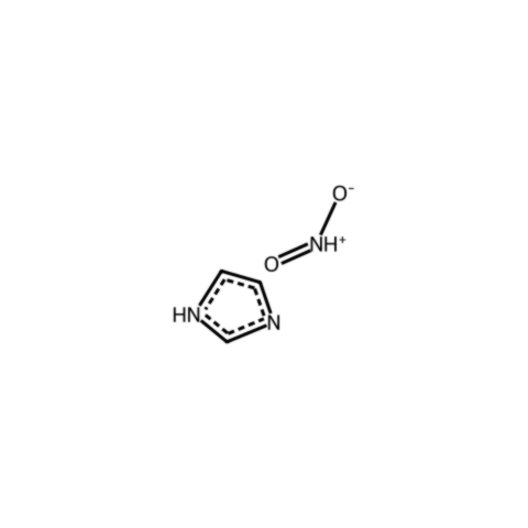 O=[NH+][O-].c1c[nH]cn1